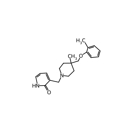 Cc1ccccc1OCC1(C)CCN(Cc2ccc[nH]c2=O)CC1